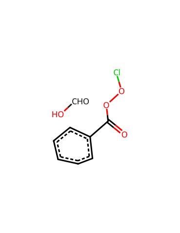 O=C(OOCl)c1ccccc1.O=CO